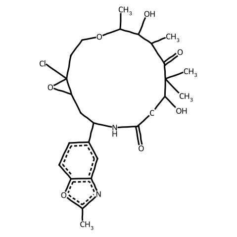 Cc1nc2cc(C3CC4OC4(Cl)CCOC(C)C(O)C(C)C(=O)C(C)(C)C(O)CC(=O)N3)ccc2o1